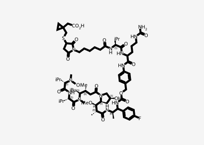 CC[C@H](C)C([C@@H](CC(=O)N1C[C@@H](O)C[C@H]1[C@H](OC)[C@@H](C)C(=O)N[C@H](C)C(NC(=O)OCc1ccc(NC(=O)C(CCCNC(N)=O)NC(=O)[C@@H](NC(=O)CCCCCN2C(=O)CC(SCC3(CC(=O)O)CC3)C2=O)C(C)C)cc1)c1ccc(F)cc1)OC)N(C)C(=O)[C@@H](NC(=O)[C@H](C(C)C)N(C)C)C(C)C